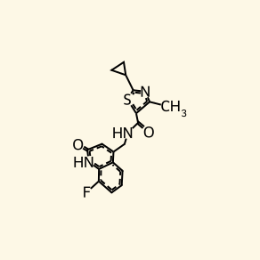 Cc1nc(C2CC2)sc1C(=O)NCc1cc(=O)[nH]c2c(F)cccc12